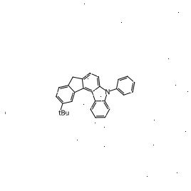 CC(C)(C)c1ccc2c(c1)-c1c(ccc3c1c1ccccc1n3-c1ccccc1)C2